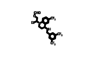 CCC(COC=O)N1CCC(NCc2cc(C(F)(F)F)cc(C(F)(F)F)c2)c2cc(C(F)(F)F)ccc21